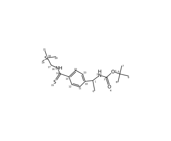 CC(NC(=O)OC(C)(C)C)c1ccc(C(=S)NC[Si](C)(C)C)cc1